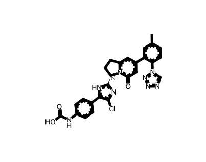 Cc1ccc(-n2cnnn2)c(-c2cc3n(c(=O)c2)[C@H](c2nc(Cl)c(-c4ccc(NC(=O)O)cc4)[nH]2)CC3)c1